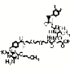 CCCCOc1nc(N)c2nc(O)n(Cc3ccc(C(=O)NCCOCCOCCNC(=O)[C@@H](CCC(=O)O)NC(=O)[C@@H](NC(=O)CNC(=O)C4CC4c4ccc(F)c(F)c4)C(C)C)cc3)c2n1